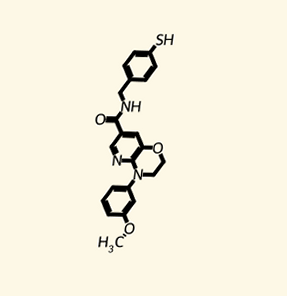 COc1cccc(N2CCOc3cc(C(=O)NCc4ccc(S)cc4)cnc32)c1